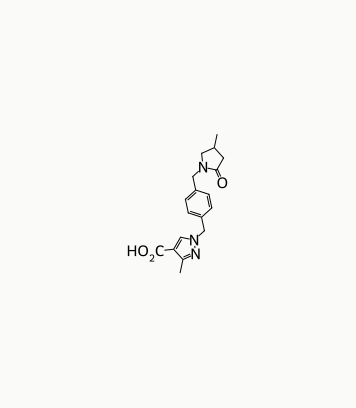 Cc1nn(Cc2ccc(CN3CC(C)CC3=O)cc2)cc1C(=O)O